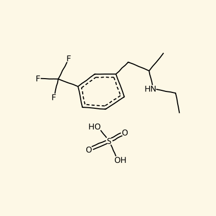 CCNC(C)Cc1cccc(C(F)(F)F)c1.O=S(=O)(O)O